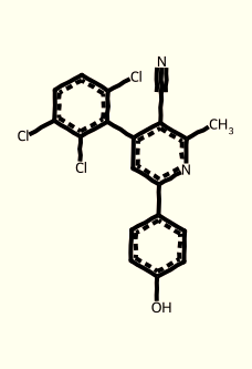 Cc1nc(-c2ccc(O)cc2)cc(-c2c(Cl)ccc(Cl)c2Cl)c1C#N